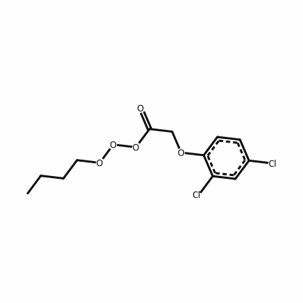 CCCCOOOC(=O)COc1ccc(Cl)cc1Cl